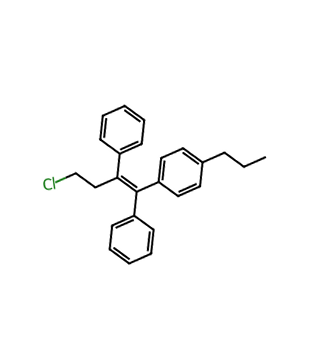 CCCc1ccc(/C(=C(/CCCl)c2ccccc2)c2ccccc2)cc1